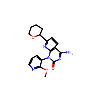 COc1ncccc1-n1c(=O)nc(N)c2ccc(C3CCCCO3)nc21